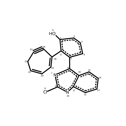 Oc1cccc(-c2nc(Cl)nc3ccccc23)c1C1=CC=CCC#C1